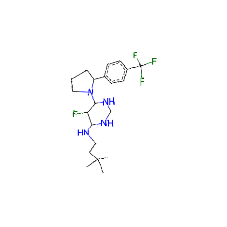 CC(C)(C)CCNC1NCNC(N2CCCC2c2ccc(C(F)(F)F)cc2)C1F